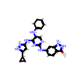 O=c1[nH][nH]c2cc(Nc3ncc(NC4=CC=CCC4)c(Nc4cc(C5CC5)[nH]n4)n3)ccc12